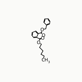 CCCCCCOC(=O)c1ccccc1C(=O)OCc1ccccc1